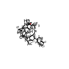 CC(=O)c1nn2c3c(cc(-c4cnc5ccnn5c4)cc13)CCCCCCC(=O)NC[C@@]13C[C@@H](C(=O)Nc4nc(C(F)(F)F)ccc4C)N(C(=O)C2)[C@@H]1[C@@H]3C